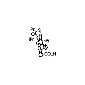 CC(C)[C@H](NC(=O)[C@H](C(C)C)N(C)C)C(=O)N(C)[C@H](C(=O)N1CCC[C@H]1C(=O)N1CCC[C@H]1C(=O)O)C(C)C